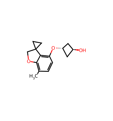 Cc1ccc(O[C@H]2C[C@H](O)C2)c2c1OCC21CC1